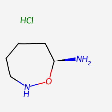 Cl.N[C@@H]1CCCCNO1